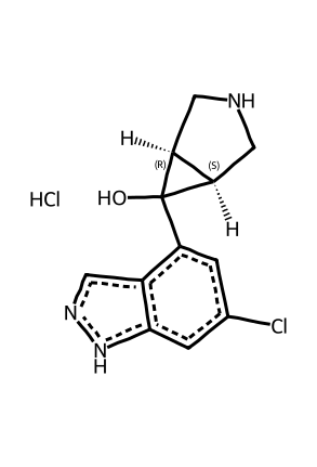 Cl.OC1(c2cc(Cl)cc3[nH]ncc23)[C@@H]2CNC[C@@H]21